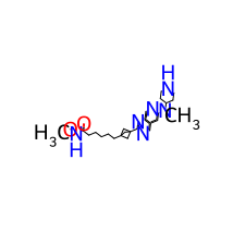 CONC(=O)CCCCCC12CC(c3ncc4cc(N(C)C5CCNCC5)ncc4n3)(C1)C2